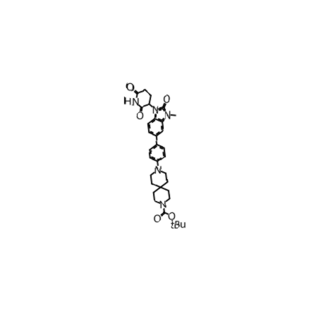 Cn1c(=O)n(C2CCC(=O)NC2=O)c2ccc(-c3ccc(N4CCC5(CCN(C(=O)OC(C)(C)C)CC5)CC4)cc3)cc21